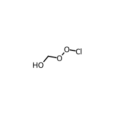 OCOOCl